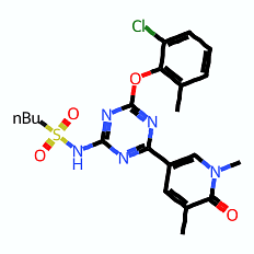 CCCCS(=O)(=O)Nc1nc(Oc2c(C)cccc2Cl)nc(-c2cc(C)c(=O)n(C)c2)n1